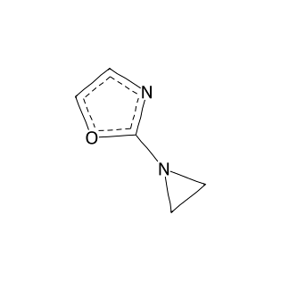 c1coc(N2CC2)n1